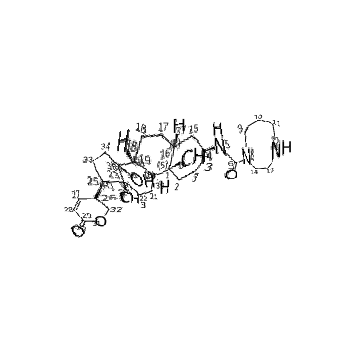 C[C@]12CC[C@H](NC(=O)N3CCCNCC3)C[C@H]1CC[C@@H]1[C@@H]2CC[C@]2(C)[C@@H](C3C=CC(=O)OC3)CC[C@]12O